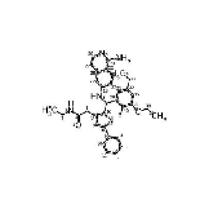 CCNC(=O)Cn1cc(-c2ccccc2)nc1C(Nc1ccc2c(N)nccc2c1)c1cc(CC)cc(OCC)c1F